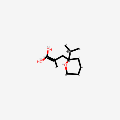 CC(CC1([SiH](C)C)CCCCO1)=C(O)O